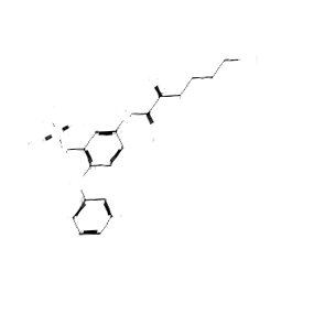 CCCCCC(=O)C(=O)Nc1ccc(Oc2ccccc2)c(NS(C)(=O)=O)c1